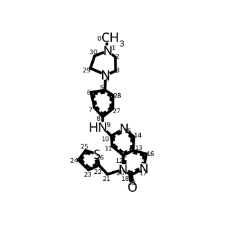 CN1CCN(c2ccc(Nc3cc4c(cn3)cnc(=O)n4Cc3cccs3)cc2)CC1